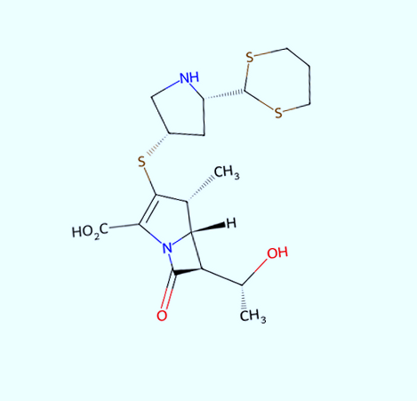 C[C@@H](O)[C@H]1C(=O)N2C(C(=O)O)=C(S[C@@H]3CN[C@H](C4SCCCS4)C3)[C@H](C)[C@H]12